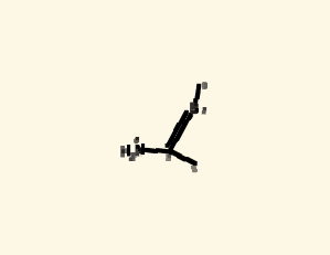 CB=C(C)N